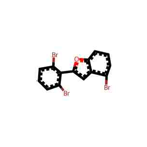 Brc1c[c]cc(Br)c1-c1cc2c(Br)cccc2o1